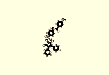 CSc1ccc(C(=O)Nc2ccc(S(=O)(=O)ON3C(=O)C(c4ccccn4)=C(c4ccccn4)C3=O)cc2)cc1